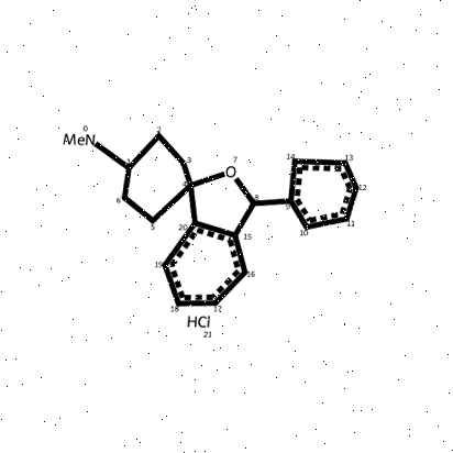 CNC1CCC2(CC1)OC(c1ccccc1)c1ccccc12.Cl